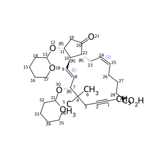 CC#CCC(C)(C)[C@@H](/C=C/[C@H]1[C@H](OC2CCCCO2)CC(=O)[C@@H]1C/C=C\CCCC(=O)O)OC1CCCCO1